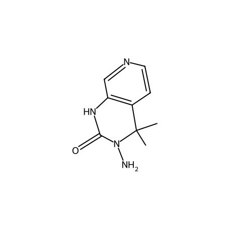 CC1(C)c2ccncc2NC(=O)N1N